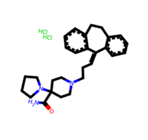 Cl.Cl.NC(=O)C1(N2CCCC2)CCN(CCC=C2c3ccccc3CCc3ccccc32)CC1